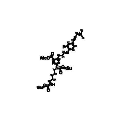 COC(=O)c1nc(N(CCCCCNC(=O)OC(C)(C)C)C(=O)OC(C)(C)C)sc1CCCOc1ccc(C#CCN(C)C)cc1F